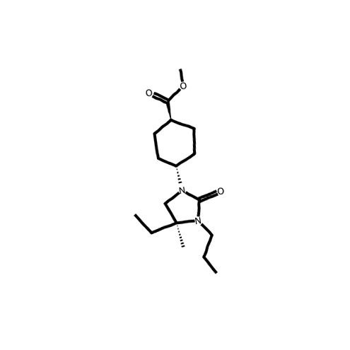 CCCN1C(=O)N([C@H]2CC[C@H](C(=O)OC)CC2)C[C@]1(C)CC